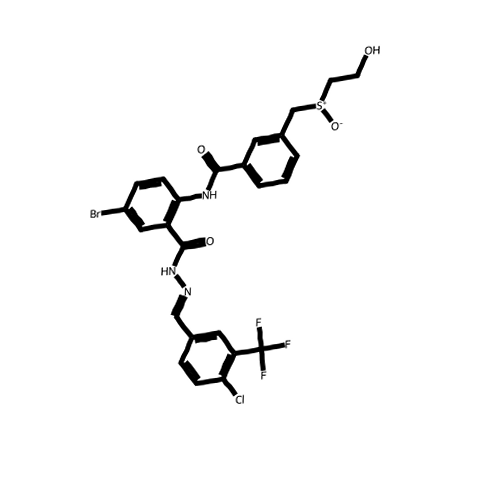 O=C(Nc1ccc(Br)cc1C(=O)NN=Cc1ccc(Cl)c(C(F)(F)F)c1)c1cccc(C[S+]([O-])CCO)c1